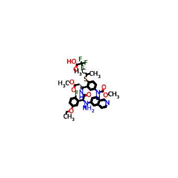 CCOc1ccc(F)c(C(C(=O)N[C@H](CC(=O)OC)c2cc(NC(=O)OC)ccc2SC(C)C)N(N)c2ccc3cnccc3c2)c1.O=C(O)C(F)(F)F